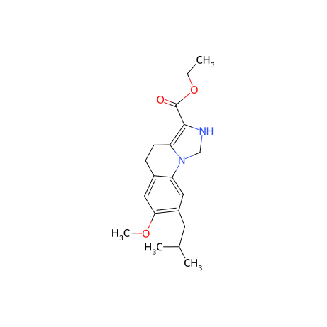 CCOC(=O)C1=C2CCc3cc(OC)c(CC(C)C)cc3N2CN1